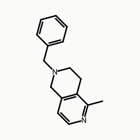 Cc1nccc2c1CCN(Cc1ccccc1)C2